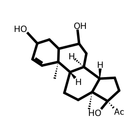 CC(=O)[C@@]1(O)CC[C@H]2[C@@H]3CC(O)C4CC(O)C=C[C@]4(C)[C@H]3CC[C@@]21C